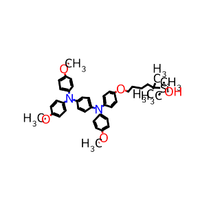 COc1ccc(N(c2ccc(OC)cc2)c2ccc(N(c3ccc(OC)cc3)c3ccc(OCCCCC(C)(C)[Si](C)(C)O)cc3)cc2)cc1